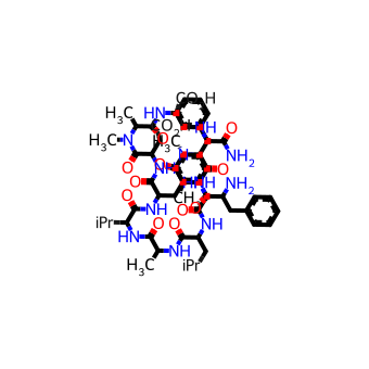 CC(C)CC(NC(=O)CNC(=O)C(Cc1ccccc1)N(C)C(=O)C(C)NC(=O)C(N)Cc1ccccc1)C(=O)NC(C)C(=O)NC(C(=O)NC(Cc1ccccc1)C(=O)NC(CC(=O)O)C(=O)N(C)C(C)C(=O)NC(CNCC(N)=O)C(=O)O)C(C)C